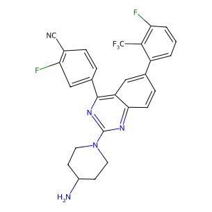 N#Cc1ccc(-c2nc(N3CCC(N)CC3)nc3ccc(-c4cccc(F)c4C(F)(F)F)cc23)cc1F